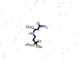 CCCCCC(CC)(CCCC)CCN[C@@H](C=O)CC(N)=O